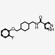 O=C(NCC1CCC(COc2ccccc2F)CC1)c1cn[nH]c1